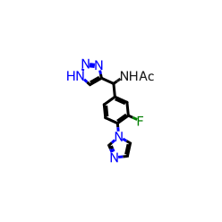 CC(=O)NC(c1ccc(-n2ccnc2)c(F)c1)c1c[nH]nn1